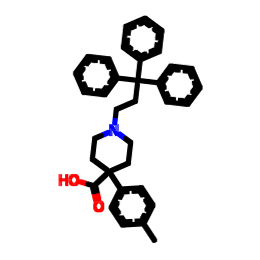 Cc1ccc(C2(C(=O)O)CCN(CCC(c3ccccc3)(c3ccccc3)c3ccccc3)CC2)cc1